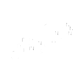 O=C(Nc1nc(COc2cc3nnncc3n2-c2ccccc2)cs1)C(F)(F)Oc1ccccc1